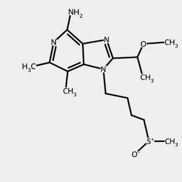 COC(C)c1nc2c(N)nc(C)c(C)c2n1CCCC[S+](C)[O-]